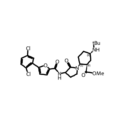 COC(=O)[C@@H]1C[C@H](NC(C)(C)C)CC[C@@H]1N1CCC(NC(=O)c2ccc(-c3cc(Cl)ccc3Cl)o2)C1=O